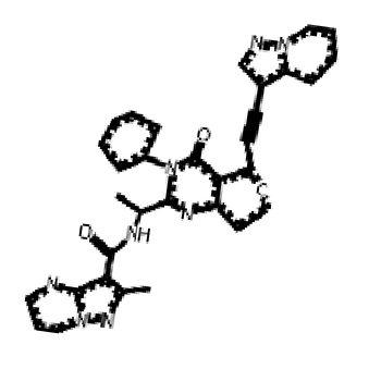 Cc1nn2cccnc2c1C(=O)NC(C)c1nc2cccc(C#Cc3cnn4ccccc34)c2c(=O)n1-c1ccccc1